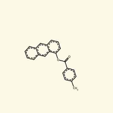 Cc1ccc(C(=O)Oc2cccc3cc4ccccc4cc23)cc1